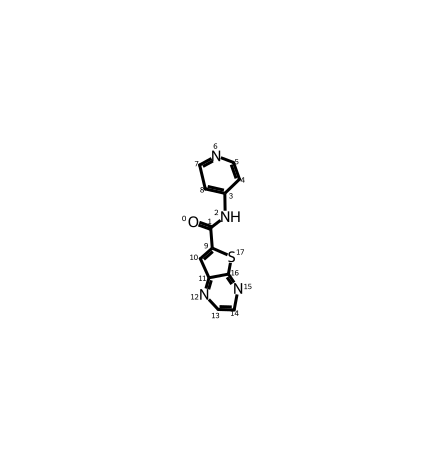 O=C(Nc1ccncc1)c1cc2nccnc2s1